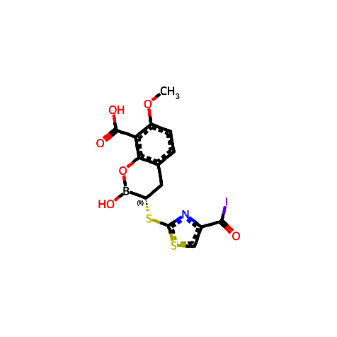 COc1ccc2c(c1C(=O)O)OB(O)[C@@H](Sc1nc(C(=O)I)cs1)C2